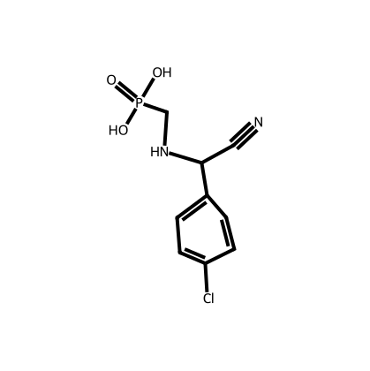 N#CC(NCP(=O)(O)O)c1ccc(Cl)cc1